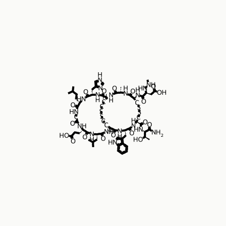 CNN[C@@H](CC(=O)O)C(=O)N[C@H]1CSSC[C@@H](C(=O)N[C@H](C(N)=O)[C@@H](C)O)NC(=O)[C@H](Cc2c[nH]c3ccccc23)NC(=O)[C@@H]2CCSSCC[C@H](NC(=O)[C@H](C)NC1=O)C(=O)N[C@@H](Cc1c[nH]cn1)C(=O)N[C@@H](CCC(C)C)C(=O)NCC(=O)N[C@@H](CCC(=O)O)C(=O)N[C@@H](CC(C)C)C(=O)N2